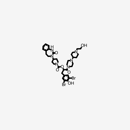 O=C(OC(Cc1cc(Br)c(O)c(Br)c1)C(=O)N1CCN(C2CCN(CCO)CC2)CC1)N1CCC(N2CCc3ccccc3NC2=O)CC1